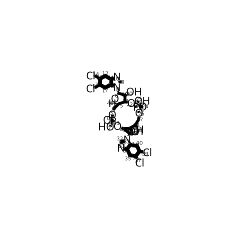 O=P1(O)OC[C@H]2O[C@@H](n3cnc4cc(Cl)c(Cl)cc43)C(O)C2OP(=O)(O)OC[C@H]2O[C@@H](n3cnc4cc(Cl)c(Cl)cc43)C(O1)C2O